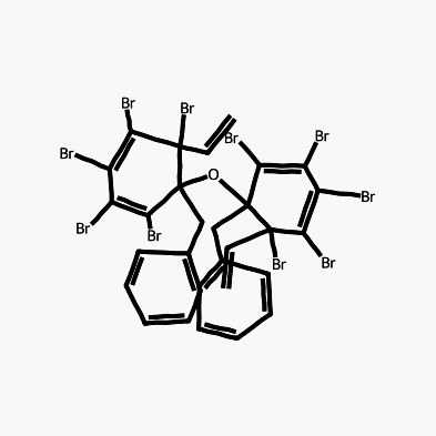 C=CC1(Br)C(Br)=C(Br)C(Br)=C(Br)C1(Cc1ccccc1)OC1(Cc2ccccc2)C(Br)=C(Br)C(Br)=C(Br)C1(Br)C=C